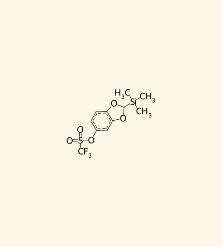 C[Si](C)(C)C1Oc2ccc(OS(=O)(=O)C(F)(F)F)cc2O1